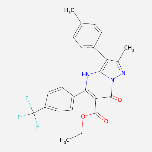 CCOC(=O)c1c(-c2ccc(C(F)(F)F)cc2)[nH]c2c(-c3ccc(C)cc3)c(C)nn2c1=O